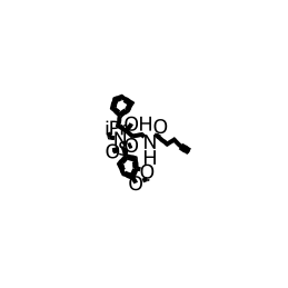 C#CCCC(=O)NCCC(O)(Cc1ccccc1)N(CC(C)C)S(=O)(=O)c1ccc2c(c1)OCO2